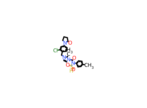 Cc1ccc(N(C(=O)N2C=CN(Cc3ccc(N4CCCC4=O)cc3Cl)C2C)[SH](=O)=O)cc1